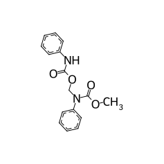 COC(=O)N(COC(=O)Nc1ccccc1)c1ccccc1